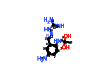 CC(O)(O)Nc1ccc(N)cc1/C=N/NC(=N)N